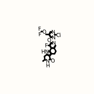 CC1Cc2[nH]c3c(c2C(=O)N1)CCc1cnc(Oc2nc(Cl)ncc2COC(F)F)c(F)c1-3